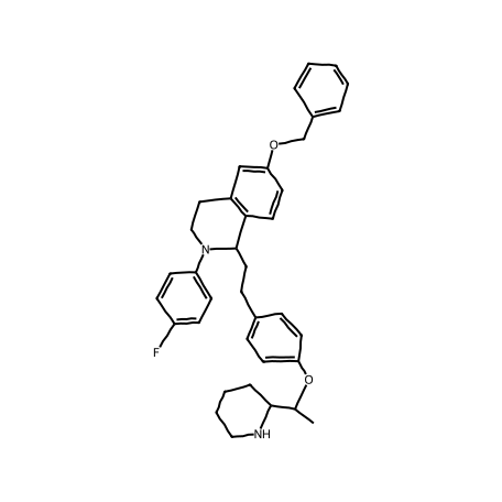 CC(Oc1ccc(CCC2c3ccc(OCc4ccccc4)cc3CCN2c2ccc(F)cc2)cc1)C1CCCCN1